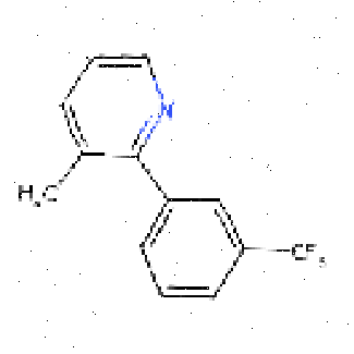 Cc1c[c]cnc1-c1cccc(C(F)(F)F)c1